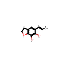 CC(=O)/C=C/c1cc2c(c(Br)c1Br)OCC2